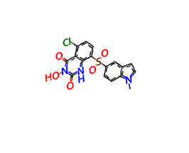 Cn1ccc2cc(S(=O)(=O)c3ccc(Cl)c4c(=O)n(O)c(=O)[nH]c34)ccc21